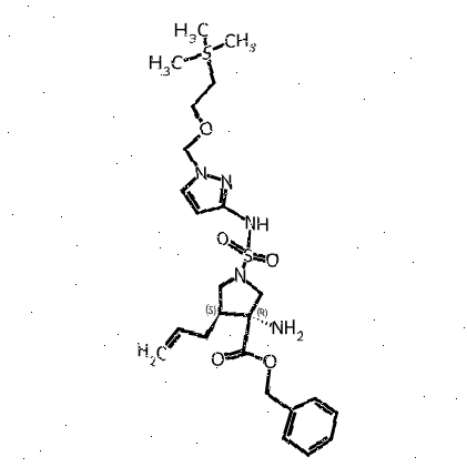 C=CC[C@H]1CN(S(=O)(=O)Nc2ccn(COCCS(C)(C)C)n2)C[C@@]1(N)C(=O)OCc1ccccc1